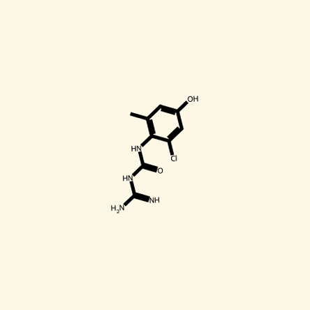 Cc1cc(O)cc(Cl)c1NC(=O)NC(=N)N